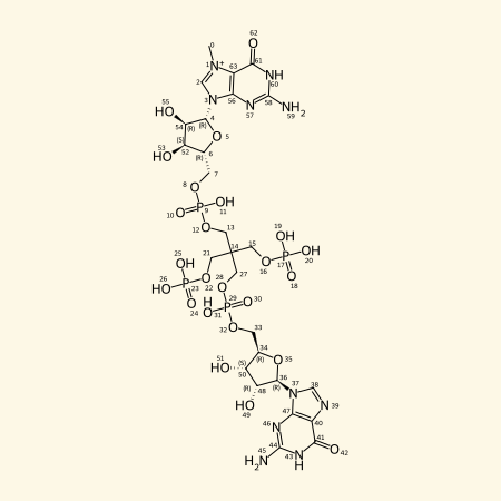 C[n+]1cn([C@@H]2O[C@H](COP(=O)(O)OCC(COP(=O)(O)O)(COP(=O)(O)O)COP(=O)(O)OC[C@H]3O[C@@H](n4cnc5c(=O)[nH]c(N)nc54)[C@H](O)[C@@H]3O)[C@@H](O)[C@H]2O)c2nc(N)[nH]c(=O)c21